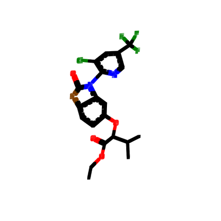 CCOC(=O)C(Oc1ccc2sc(=O)n(-c3ncc(C(F)(F)F)cc3Cl)c2c1)C(C)C